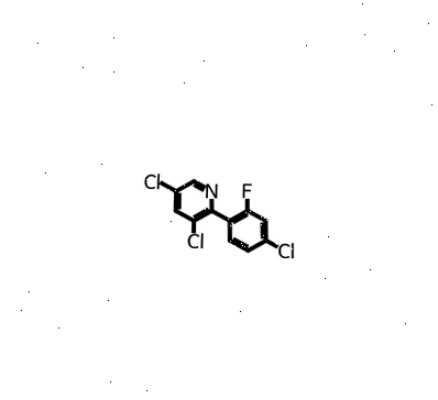 Fc1cc(Cl)ccc1-c1ncc(Cl)cc1Cl